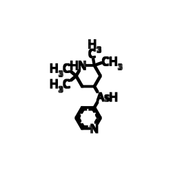 CC1(C)CC([AsH]c2cccnc2)CC(C)(C)N1